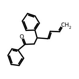 C=C/C=C/C(CC(=O)c1ccccc1)c1ccccc1